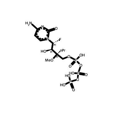 CCC[C@](COP(=O)(O)OP(=O)(O)OP(=O)(O)O)(OC)[C@@H](O)[C@@H](F)n1ccc(N)nc1=O